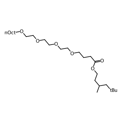 CCCCCCCCOCCOCCOCCOCCCC(=O)OCCC(C)CC(C)(C)C